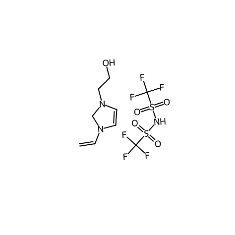 C=CN1C=CN(CCO)C1.O=S(=O)(NS(=O)(=O)C(F)(F)F)C(F)(F)F